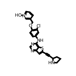 O[n+]1cccc(COc2ccc(Nc3ncnc4cc(C#CC5CCCN5)sc34)cc2Cl)c1